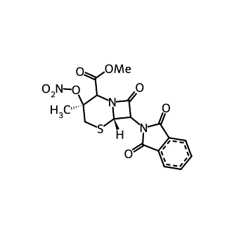 COC(=O)C1N2C(=O)C(N3C(=O)c4ccccc4C3=O)[C@@H]2SC[C@@]1(C)O[N+](=O)[O-]